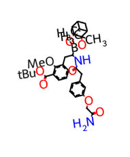 COc1c(CC(NC(=O)Cc2cccc(OCC(N)=O)c2)B2OC3CC4CC(C4(C)C)C3(C)O2)cccc1C(=O)OC(C)(C)C